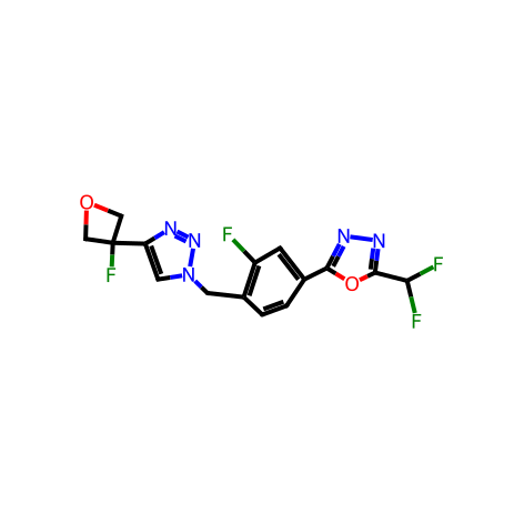 Fc1cc(-c2nnc(C(F)F)o2)ccc1Cn1cc(C2(F)COC2)nn1